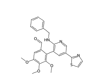 COc1cc(C=O)c(-c2cc(-c3nccs3)cnc2NCc2ccccc2)c(OC)c1OC